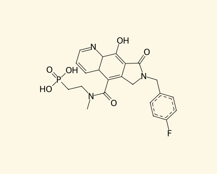 CN(CCP(=O)(O)O)C(=O)C1=C2CN(Cc3ccc(F)cc3)C(=O)C2=C(O)C2N=CC=CC12